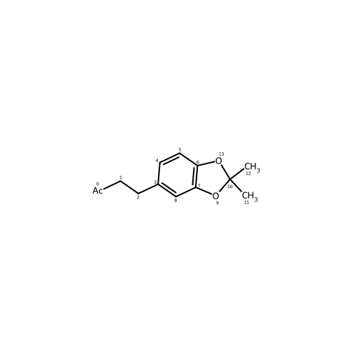 CC(=O)CCc1ccc2c(c1)OC(C)(C)O2